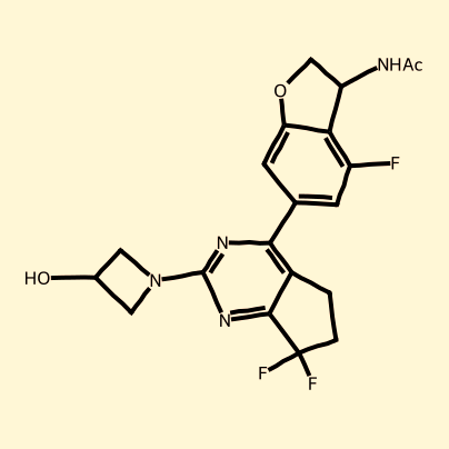 CC(=O)NC1COc2cc(-c3nc(N4CC(O)C4)nc4c3CCC4(F)F)cc(F)c21